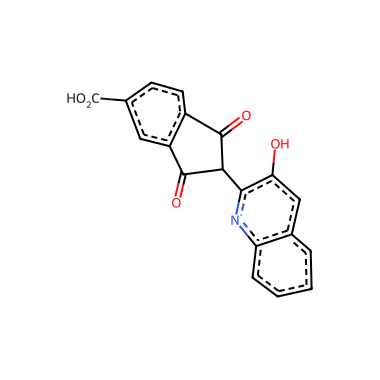 O=C(O)c1ccc2c(c1)C(=O)C(c1nc3ccccc3cc1O)C2=O